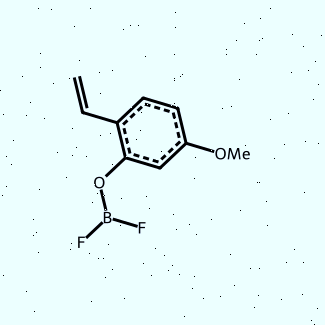 C=Cc1ccc(OC)cc1OB(F)F